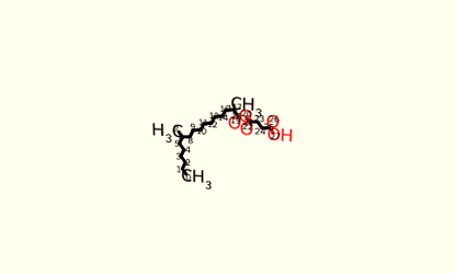 CCCCCCC(C)CCCCCCCCC(C)C(=O)OC(=O)CCC(=O)O